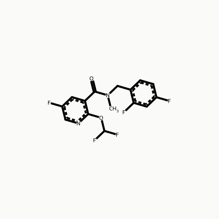 CN(Cc1ccc(F)cc1F)C(=O)c1cc(F)cnc1OC(F)F